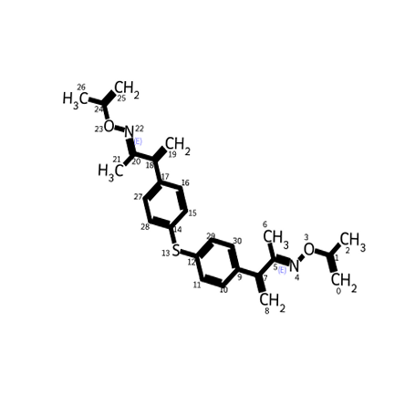 C=C(C)O/N=C(\C)C(=C)c1ccc(Sc2ccc(C(=C)/C(C)=N/OC(=C)C)cc2)cc1